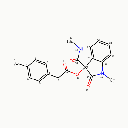 Cc1ccc(CC(=O)OC2(C(=O)NC(C)(C)C)C(=O)N(C)c3ccccc32)cc1